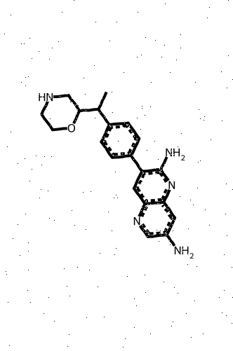 CC(c1ccc(-c2cc3ncc(N)cc3nc2N)cc1)C1CNCCO1